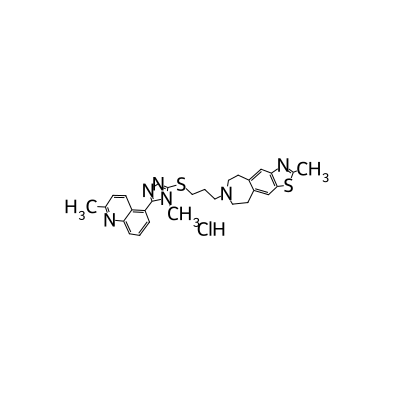 Cc1ccc2c(-c3nnc(SCCCN4CCc5cc6nc(C)sc6cc5CC4)n3C)cccc2n1.Cl